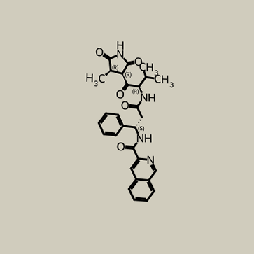 CC(C)[C@@H](NC(=O)C[C@H](NC(=O)c1cc2ccccc2cn1)c1ccccc1)C(=O)[C@@H]1C(=O)NC(=O)[C@@H]1C